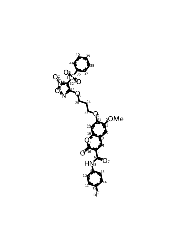 COc1cc2cc(C(=O)Nc3ccc(F)cc3)c(=O)oc2cc1OCCCOc1no[n+]([O-])c1S(=O)(=O)c1ccccc1